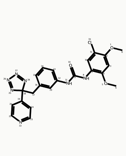 COc1cc(OC)c(NC(=O)Nc2cccc(CC3(c4ccncc4)N=NN=N3)c2)cc1Cl